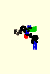 C/C(=C\c1cccc2c1CCNC2)C(=O)N(CCN(C)C)Cc1ccccc1C(F)(F)F.Cl.Cl